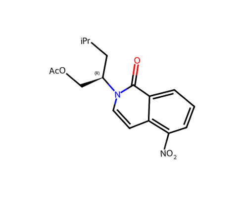 CC(=O)OC[C@@H](CC(C)C)n1ccc2c([N+](=O)[O-])cccc2c1=O